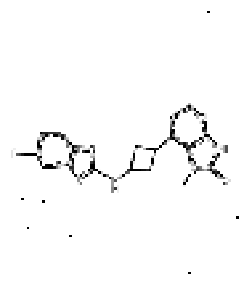 Cn1c(=O)[nH]c2nccc(C3CC(Nc4nc5ccc(F)cc5s4)C3)c21